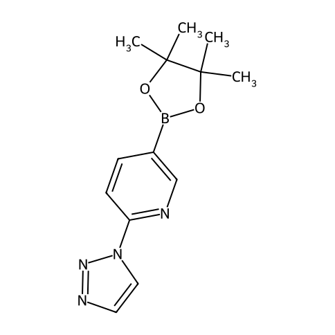 CC1(C)OB(c2ccc(-n3ccnn3)nc2)OC1(C)C